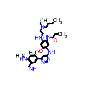 C=CC(=O)Nc1cc(Nc2cc(-c3ccc(NC)c(C=N)c3)ncn2)c(OC)cc1NCCN(CC)CCCC